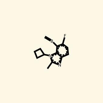 C=Bc1c(F)ccc2nc(C)n(C3CCC3)c12